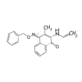 C=CNC1=C(C)/C(=N/OCc2ccccc2)c2ccccc2C1=O